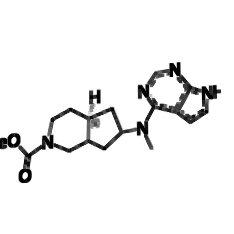 COC(=O)N1CC[C@H]2CC(N(C)c3ncnc4[nH]ccc34)CC2C1